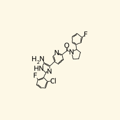 Nc1[nH]c(-c2c(F)cccc2Cl)nc1-c1ccc(C(=O)N2CCCC2c2cccc(F)c2)nc1